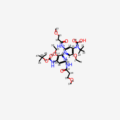 CCOc1cnc(NC(=O)CCOC)cc1N(C(=O)O)C(C)(C)C.CCOc1cnc(NC(=O)CCOC)cc1NC(=O)OC(C)(C)C